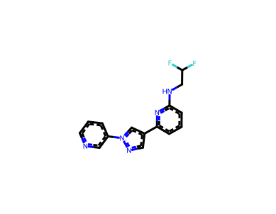 FC(F)CNc1cccc(-c2cnn(-c3cccnc3)c2)n1